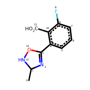 CC1N=C(c2cccc(F)c2C(=O)O)ON1